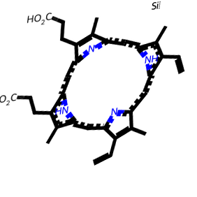 C=CC1=C(C)c2cc3[nH]c(cc4nc(cc5[nH]c(cc1n2)c(C)c5CCC(=O)O)C(CCC(=O)O)=C4C)c(C)c3C=C.[Si]